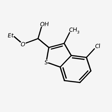 CCOC(O)c1sc2cccc(Cl)c2c1C